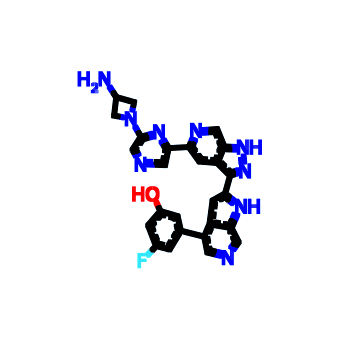 NC1CN(c2cncc(-c3cc4c(-c5cc6c(-c7cc(O)cc(F)c7)cncc6[nH]5)n[nH]c4cn3)n2)C1